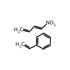 C=CC=C[N+](=O)[O-].C=Cc1ccccc1